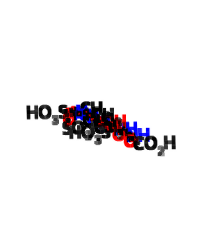 Cc1cc(N=Nc2cc(C)c(N=Nc3c(S(=O)(=O)O)cc4cc(NC(=O)c5ccc(NC(=O)CCC(=O)O)cc5)ccc4c3O)cc2C)c(C)cc1N=Nc1ccc2cc(S(=O)(=O)O)cc(OCCCS(=O)(=O)O)c2c1